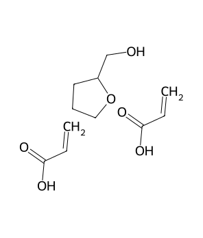 C=CC(=O)O.C=CC(=O)O.OCC1CCCO1